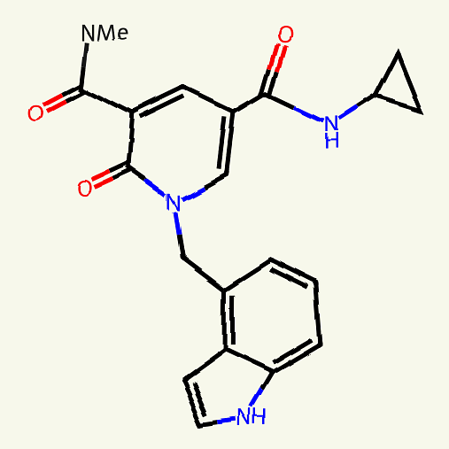 CNC(=O)c1cc(C(=O)NC2CC2)cn(Cc2cccc3[nH]ccc23)c1=O